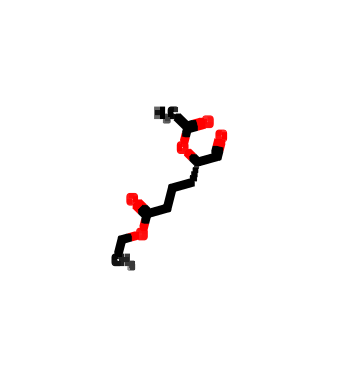 CCOC(=O)CCC[C@@H](C=O)OC(C)=O